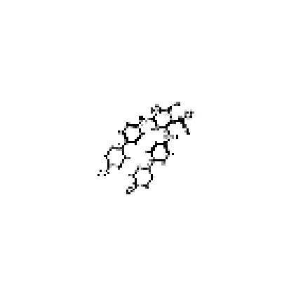 CC(=O)N1CCN(c2ccc(Nc3nc(Nc4ccc(N5CCN(C(C)=O)CC5)cc4)c(C(N)=O)c(=O)[nH]3)cc2)CC1